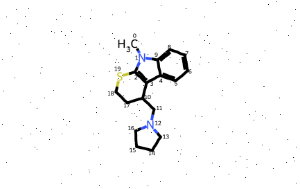 Cn1c2c(c3ccccc31)C(CN1CCCC1)CCS2